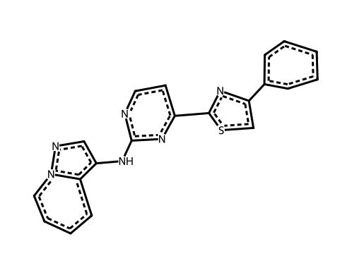 c1ccc(-c2csc(-c3ccnc(Nc4cnn5ccccc45)n3)n2)cc1